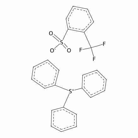 O=S(=O)([O-])c1ccccc1C(F)(F)F.c1ccc([S+](c2ccccc2)c2ccccc2)cc1